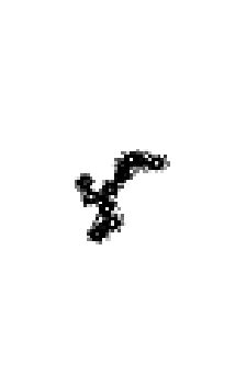 c1ccc(-c2cccc(N(c3ccc(-c4ccc5c(c4)oc4ccc6oc(-c7ccccc7)nc6c45)cc3)c3ccc(-c4cccc5c4oc4ccccc45)cc3)c2)cc1